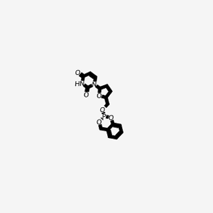 O=c1ccn(C2CCC(COP3OCc4ccccc4O3)O2)c(=O)[nH]1